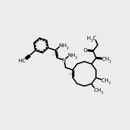 C#Cc1cccc(/C(N)=C/N(N)C/C2=C/CCC(C)C(C)CC(C(=C)C(=O)CC)CC2)c1